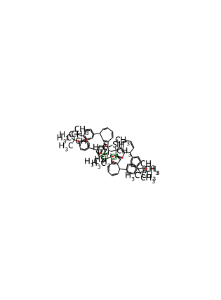 CC1=CC2=C(C=CC=CC2c2ccc(C(C)(C)C)cc2)[C]12[SiH](C)[C]1(C(C)=CC3=C1C=CC=CC3c1ccc(C(C)(C)C)cc1)[Zr]21([Cl])([Cl])[C]2(C(C)=CC3=C2C=CC=CC3c2ccc(C(C)(C)C)cc2)[SiH](C)[C]12C(C)=CC1=C2C=CC=CC1c1ccc(C(C)(C)C)cc1